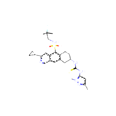 Cc1cc(NC(=S)NC2CCc3c(cc4cnc(C5CC5)cc4c3S(=O)(=O)NCC(C)(C)F)C2)n(C)n1